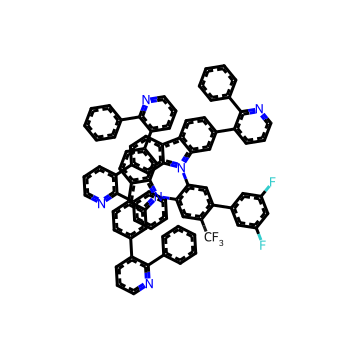 Fc1cc(F)cc(-c2cc(-n3c4cc(-c5cccnc5-c5ccccc5)ccc4c4ccc(-c5cccnc5-c5ccccc5)cc43)c(-n3c4cc(-c5cccnc5-c5ccccc5)ccc4c4ccc(-c5cccnc5-c5ccccc5)cc43)cc2C(F)(F)F)c1